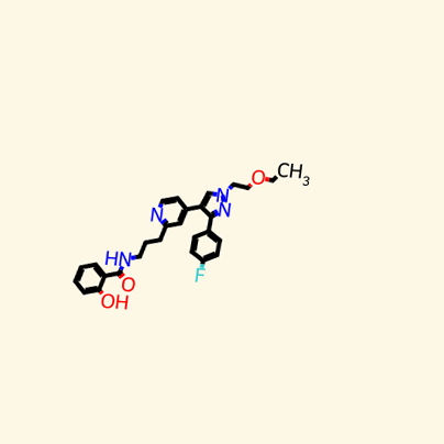 CCOCCn1cc(-c2ccnc(CCCNC(=O)c3ccccc3O)c2)c(-c2ccc(F)cc2)n1